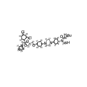 CCC(C)NC(=O)N(C=N)c1ccc(N2CCN(c3ccc(OCC4COC(Cn5cncn5)(c5ccc(Cl)cc5Cl)O4)cc3)CC2)cc1